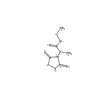 CCOC(=O)C(C)N1C(=O)CSC1=O